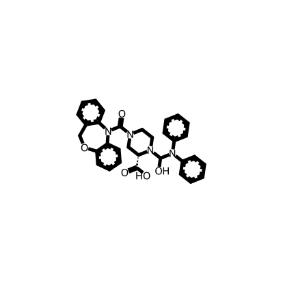 O=C(O)[C@@H]1CN(C(=O)N2c3ccccc3COc3ccccc32)CCN1C(O)N(c1ccccc1)c1ccccc1